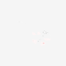 CCCCCCCCCCCCCCO[C@H]1O[C@H](C)[C@@H](O)[C@H](O)[C@@H]1O